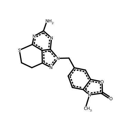 Cn1c(=O)oc2cc(Cn3nc4c5c(nc(N)nc53)SCC4)ccc21